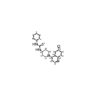 S=C(Nc1ccccc1)NC1CCN(c2ccnc3ccc(Cl)cc23)CC1